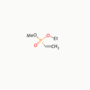 C=CP(=O)(OC)OCC